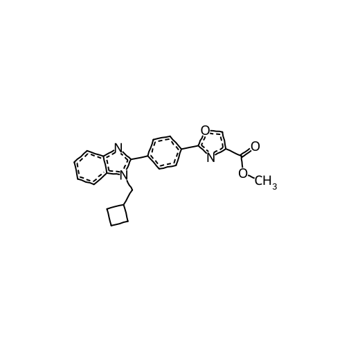 COC(=O)c1coc(-c2ccc(-c3nc4ccccc4n3CC3CCC3)cc2)n1